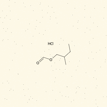 CCC(C)COC=O.Cl